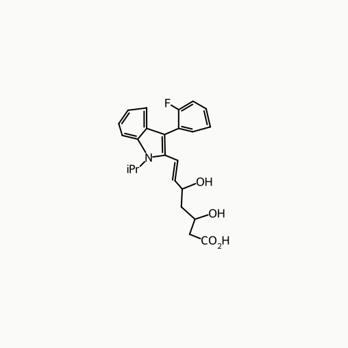 CC(C)n1c(/C=C/C(O)CC(O)CC(=O)O)c(-c2ccccc2F)c2ccccc21